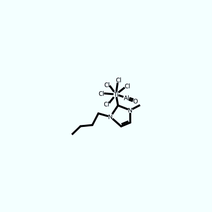 CCCCN1C=CN(C)[CH]1[Ti]([Cl])([Cl])([Cl])([Cl])([Cl])[Al]=[O]